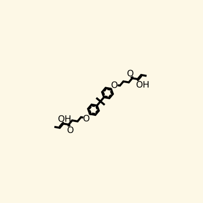 CC=C(O)C(=O)CCCOc1ccc(C(C)(C)c2ccc(OCCCC(=O)C(O)=CC)cc2)cc1